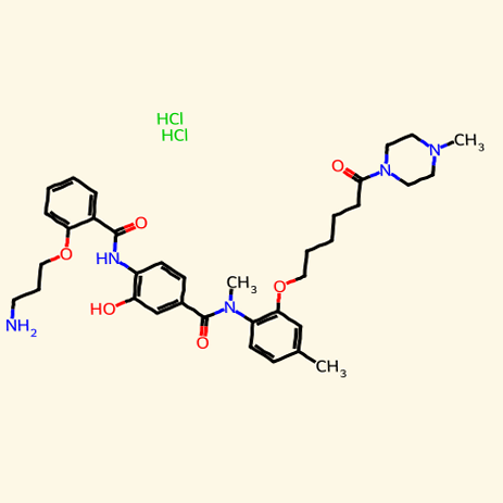 Cc1ccc(N(C)C(=O)c2ccc(NC(=O)c3ccccc3OCCCN)c(O)c2)c(OCCCCCC(=O)N2CCN(C)CC2)c1.Cl.Cl